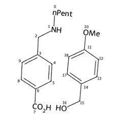 CCCCCNCc1ccc(C(=O)O)cc1.COc1ccc(CO)cc1